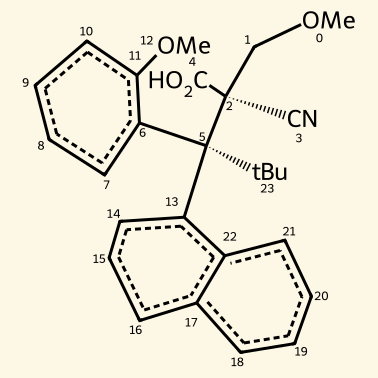 COC[C@](C#N)(C(=O)O)[C@](c1ccccc1OC)(c1cccc2ccccc12)C(C)(C)C